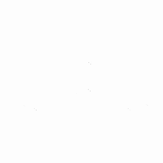 Cc1noc(-c2cccc(C(CN3CC[C@H](O)C3)N(C)C(=O)Cc3ccc4c(c3)NC(=O)C4)c2)n1